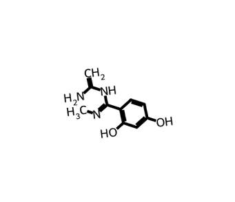 C=C(N)N/C(=N\C)c1ccc(O)cc1O